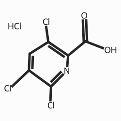 Cl.O=C(O)c1nc(Cl)c(Cl)cc1Cl